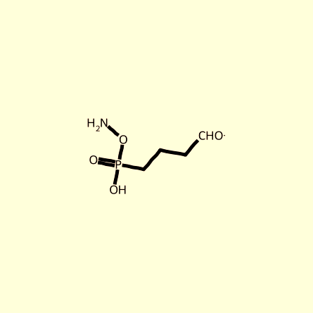 NOP(=O)(O)CCC[C]=O